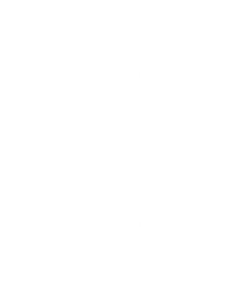 CCC(=O)OCCOS(C)(=O)=O